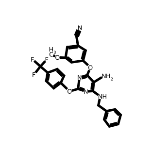 COc1cc(C#N)cc(Oc2nc(Oc3ccc(C(F)(F)F)cc3)nc(NCc3ccccc3)c2N)c1